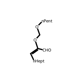 CCCCCCC/C=C(\C=O)OCOCCCCC